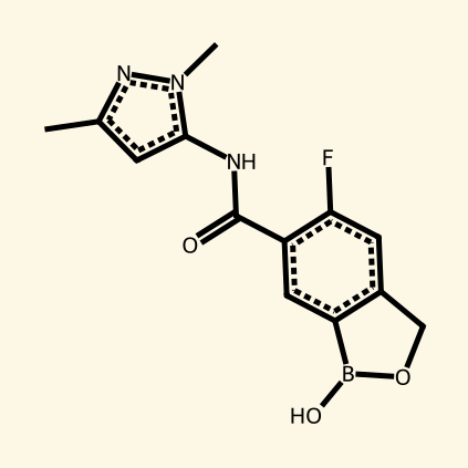 Cc1cc(NC(=O)c2cc3c(cc2F)COB3O)n(C)n1